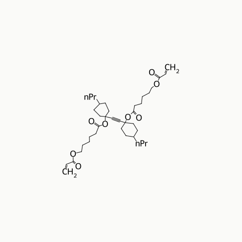 C=CC(=O)OCCCCCC(=O)OC1(C#CC2(OC(=O)CCCCCOC(=O)C=C)CCC(CCC)CC2)CCC(CCC)CC1